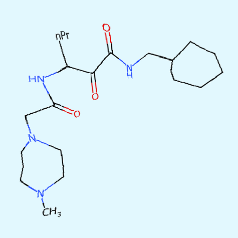 CCCC(NC(=O)CN1CCN(C)CC1)C(=O)C(=O)NCC1CCCCC1